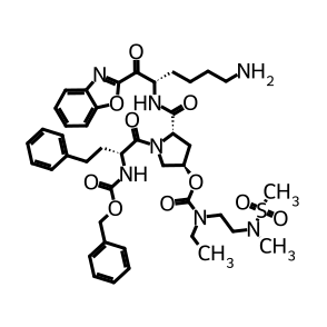 CCN(CCN(C)S(C)(=O)=O)C(=O)O[C@@H]1C[C@@H](C(=O)N[C@@H](CCCCN)C(=O)c2nc3ccccc3o2)N(C(=O)[C@@H](CCc2ccccc2)NC(=O)OCc2ccccc2)C1